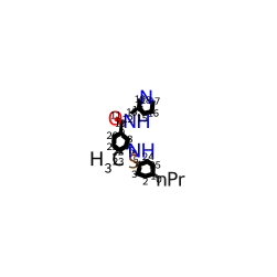 CCCc1ccc(SNc2cc(C(=O)NCc3cccnc3)ccc2C)cc1